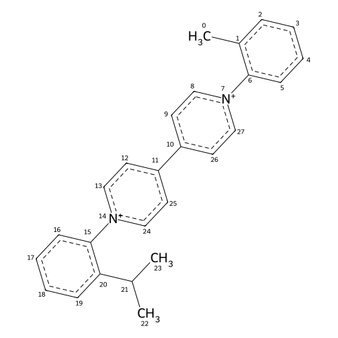 Cc1ccccc1-[n+]1ccc(-c2cc[n+](-c3ccccc3C(C)C)cc2)cc1